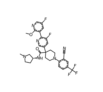 COc1ncc(F)cc1-c1ncc(C2(C(=O)N[C@H]3CCN(C)C3)CCN(c3ccc(C(F)(F)F)cc3C#N)CC2)cc1F